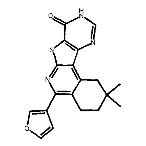 CC1(C)CCc2c(-c3ccoc3)nc3sc4c(=O)[nH]cnc4c3c2C1